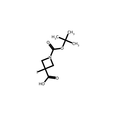 CC(C)(C)OC(=O)N1CC(I)(C(=O)O)C1